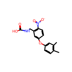 Cc1ccc(Oc2ccc([N+](=O)[O-])c(CNC(=O)O)c2)cc1C